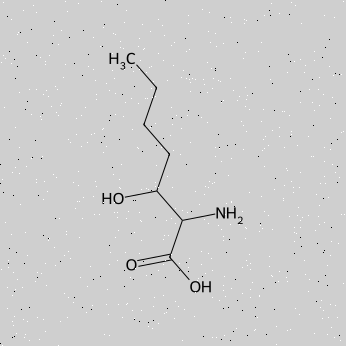 CCCCC(O)C(N)C(=O)O